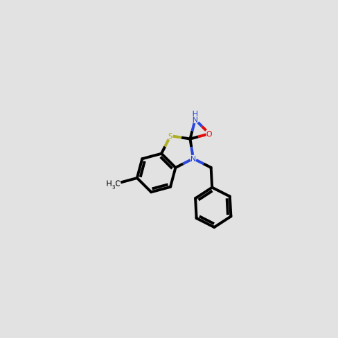 Cc1ccc2c(c1)SC1(NO1)N2Cc1ccccc1